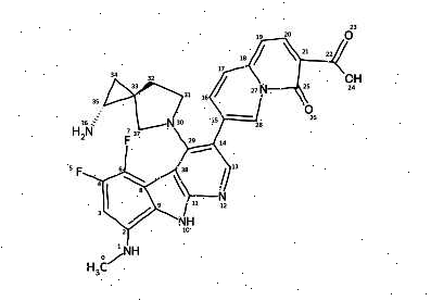 CNc1cc(F)c(F)c2c1[nH]c1ncc(-c3ccc4ccc(C(=O)O)c(=O)n4c3)c(N3CC[C@@]4(C[C@H]4N)C3)c12